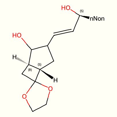 CCCCCCCCC[C@H](O)C=CC1C[C@H]2[C@@H](CC23OCCO3)C1O